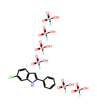 Clc1ccc2cc(-c3ccccc3)[nH]c2c1.O=[Te](=O)(O)F.O=[Te](=O)(O)F.O=[Te](=O)(O)F.O=[Te](=O)(O)F.O=[Te](=O)(O)F.O=[Te](=O)(O)F